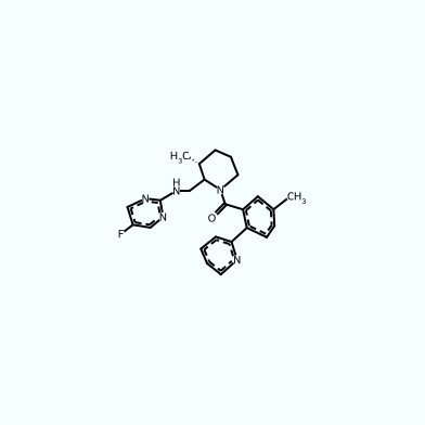 Cc1ccc(-c2ccccn2)c(C(=O)N2CCC[C@@H](C)C2CNc2ncc(F)cn2)c1